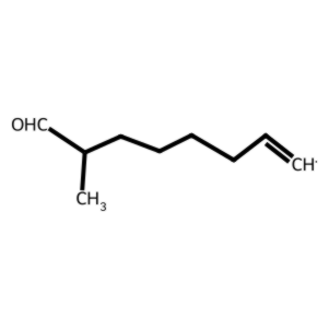 [CH]=CCCCCC(C)C=O